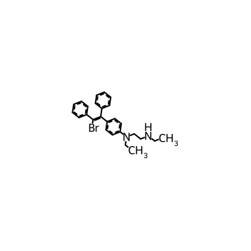 CCNCCN(CC)c1ccc(C(=C(Br)c2ccccc2)c2ccccc2)cc1